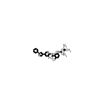 CC(C)(C)OC(=O)Nc1ccc(Cl)c(C(=O)Nc2ncc(-c3cnn(-c4ccccc4)c3)cc2F)c1